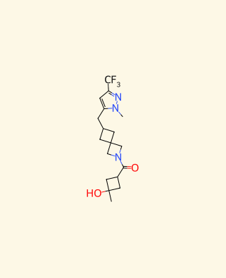 Cn1nc(C(F)(F)F)cc1CC1CC2(C1)CN(C(=O)C1CC(C)(O)C1)C2